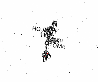 COC(=O)N[C@H](C(=O)N[C@@H](Cc1ccc(C#Cc2ccc(N3CC4CCC(C3)N4C(=O)[C@@H]3CCCO3)nc2)cc1)[C@@H](O)CN(Cc1c(F)cc(-c2ccn(C)n2)cc1F)NC(=O)[C@@H](NC(=O)O)C(C)(C)C)C(C)(C)C